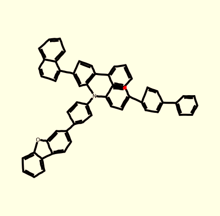 c1ccc(-c2ccc(-c3ccc(N(c4ccc(-c5ccc6c(c5)oc5ccccc56)cc4)c4cc(-c5cccc6ccccc56)ccc4-c4ccccc4)cc3)cc2)cc1